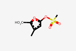 Cc1cc(OS(C)(=O)=O)oc1C(=O)O